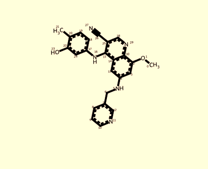 COc1cc(NCc2cccnc2)cc2c(Nc3ccc(C)c(O)c3)c(C#N)cnc12